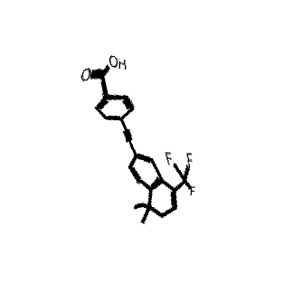 CC1(C)CC=C(C(F)(F)F)c2cc(C#Cc3ccc(C(=O)O)cc3)ccc21